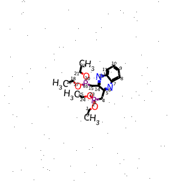 CCOP(Cc1nc2ccccc2nc1CP(OCC)OCC)OCC